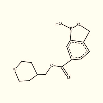 O=C(OCC1CCSCC1)c1ccc2c(c1)B(O)OC2